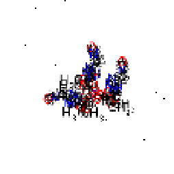 CC1(C)O[C@@H]2[C@@H](COP(=O)(OC[C@H]3OC(n4cnc5c(-c6cccc(N7CCOCC7)c6)ncnc54)[C@@H]4OC(C)(C)O[C@H]34)OC[C@H]3OC(n4cnc5c(-c6cccc(N7CCOCC7)c6)ncnc54)[C@@H]4OC(C)(C)O[C@H]34)OC(n3cnc4c(-c5cccc(N6CCOCC6)c5)ncnc43)[C@@H]2O1